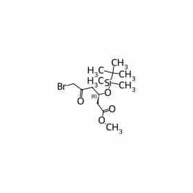 COC(=O)C[C@@H](CC(=O)CBr)O[Si](C)(C)C(C)(C)C